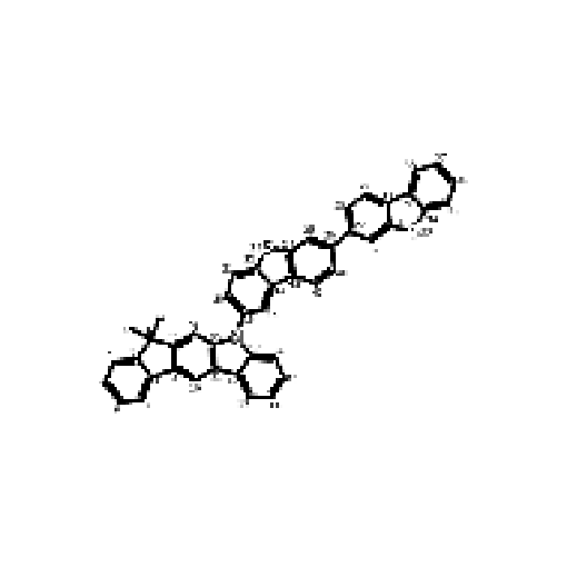 CC1(C)c2ccccc2-c2cc3c4ccccc4n(-c4ccc5sc6cc(-c7ccc8c(c7)sc7ccccc78)ccc6c5c4)c3cc21